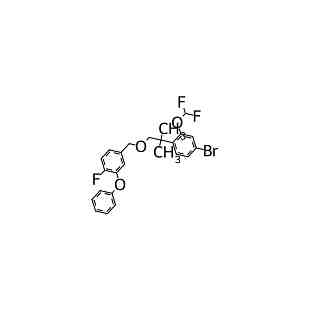 CC(C)(COCc1ccc(F)c(Oc2ccccc2)c1)c1ccc(Br)cc1OC(F)F